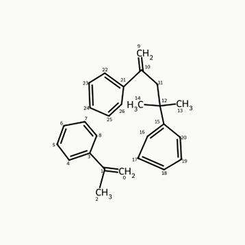 C=C(C)c1ccccc1.C=C(CC(C)(C)c1ccccc1)c1ccccc1